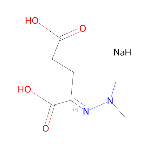 CN(C)/N=C(\CCC(=O)O)C(=O)O.[NaH]